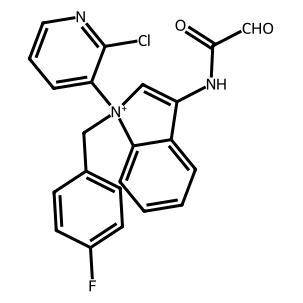 O=CC(=O)NC1=C[N+](Cc2ccc(F)cc2)(c2cccnc2Cl)c2ccccc21